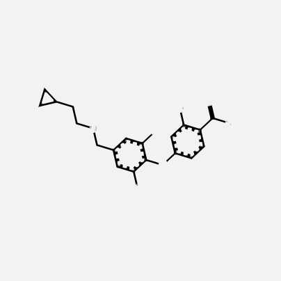 NC(=O)c1ccc(Oc2c(F)cc(CNCCC3CC3)cc2F)cc1O